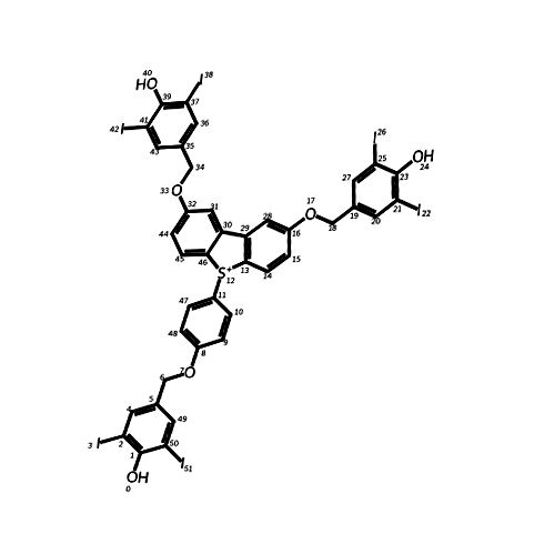 Oc1c(I)cc(COc2ccc(-[s+]3c4ccc(OCc5cc(I)c(O)c(I)c5)cc4c4cc(OCc5cc(I)c(O)c(I)c5)ccc43)cc2)cc1I